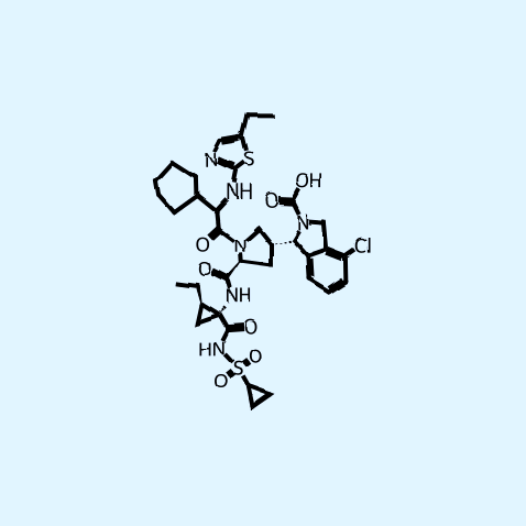 CCc1cnc(NC(C(=O)N2C[C@H](C3c4cccc(Cl)c4CN3C(=O)O)C[C@H]2C(=O)N[C@]2(C(=O)NS(=O)(=O)C3CC3)C[C@H]2CC)C2CCCCC2)s1